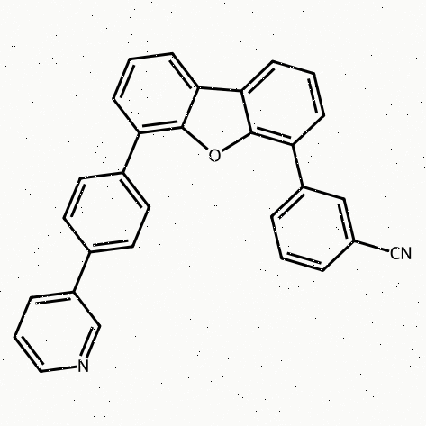 N#Cc1cccc(-c2cccc3c2oc2c(-c4ccc(-c5cccnc5)cc4)cccc23)c1